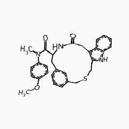 COc1ccc(N(C)C(=O)C2Cc3cccc(c3)CSCc3[nH]c4ccccc4c3CC(=O)N2)cc1